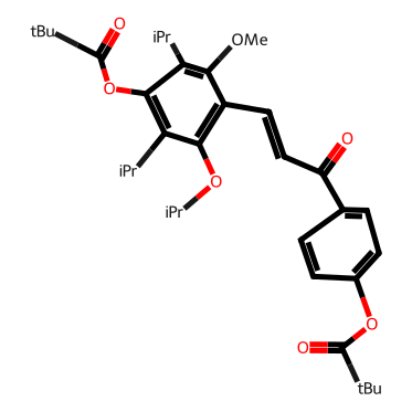 COc1c(C=CC(=O)c2ccc(OC(=O)C(C)(C)C)cc2)c(OC(C)C)c(C(C)C)c(OC(=O)C(C)(C)C)c1C(C)C